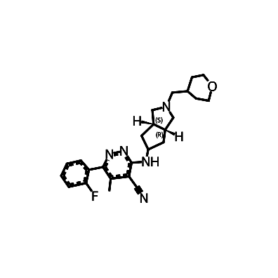 Cc1c(-c2ccccc2F)nnc(NC2C[C@@H]3CN(CC4CCOCC4)C[C@@H]3C2)c1C#N